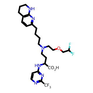 O=C(O)C(CCN(CCCCc1ccc2c(n1)NCCC2)CCOCC(F)F)Nc1ccnc(C(F)(F)F)n1